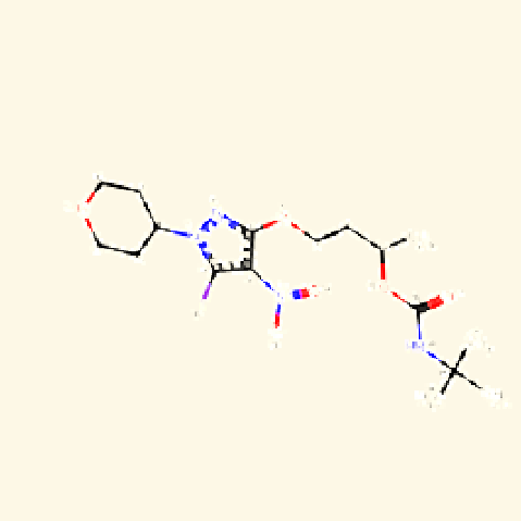 C[C@H](CCOc1nn(C2CCOCC2)c(I)c1[N+](=O)[O-])OC(=O)NC(C)(C)C